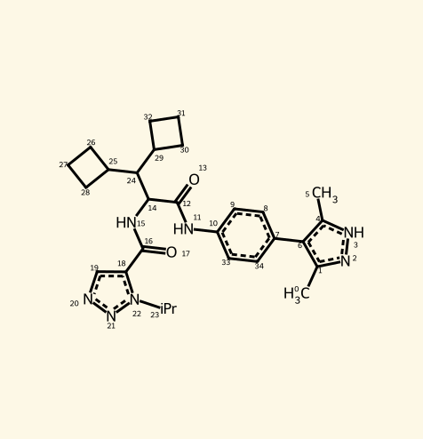 Cc1n[nH]c(C)c1-c1ccc(NC(=O)C(NC(=O)c2cnnn2C(C)C)C(C2CCC2)C2CCC2)cc1